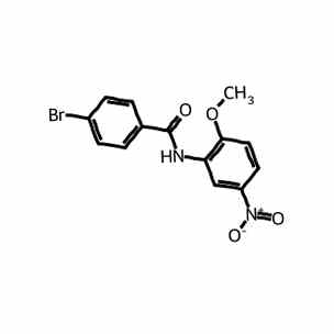 COc1ccc([N+](=O)[O-])cc1NC(=O)c1ccc(Br)cc1